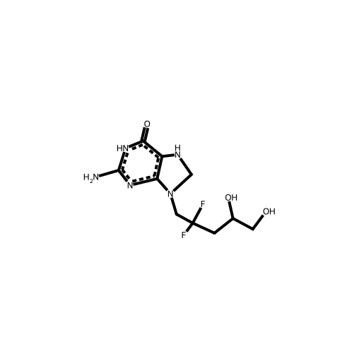 Nc1nc2c(c(=O)[nH]1)NCN2CC(F)(F)CC(O)CO